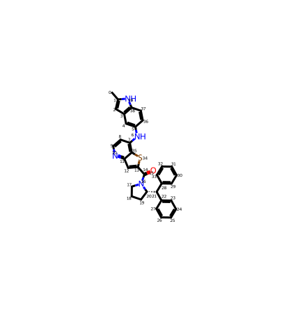 Cc1cc2cc(Nc3ccnc4cc(C(=O)N5CCC[C@H]5C(c5ccccc5)c5ccccc5)sc34)ccc2[nH]1